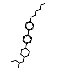 CCCCCOc1ccc(-c2ccc(C3CCC(CC(C)CC)CC3)cc2)cc1